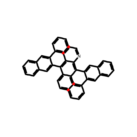 c1ccc(-c2cc3ccccc3cc2-c2c3ccccc3c(-c3cc4ccccc4cc3-c3ccccc3)c3ncccc23)cc1